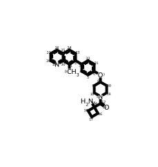 Cc1c(-c2ccc(OC3CCN(C(=O)C4(N)CCC4)CC3)cc2)ccc2cccnc12